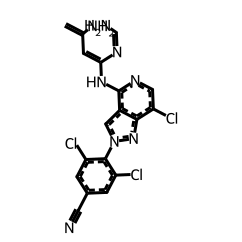 C=C(N)/C=C(\N=C/N)Nc1ncc(Cl)c2nn(-c3c(Cl)cc(C#N)cc3Cl)cc12